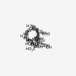 C[C@@H]1NC(=O)[C@@H]2CCCN2C(=O)[C@H](CC(N)=O)NC(=O)[C@@H]2CSSC[C@H](N)C(=O)N[C@H](C(=O)N[C@@H](CCC(=O)O)C(=O)NO)CSSC[C@H](NC1=O)C(=O)NC([C@@H](C)O)C(=O)NCC(=O)N[C@H](C(=O)N[C@H](Cc1ccc(O)cc1)C(=O)O)CSSC[C@H](NC=O)C(=O)N2